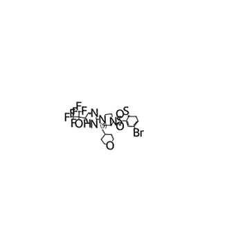 O=S(=O)(C1=CC(Br)=CCC1=S)N1CCN(c2ncc(C(O)(C(F)(F)F)C(F)(F)F)cn2)[C@@H](CC2CCOCC2)C1